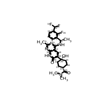 Cc1nc(N[C@H](C)c2cccc(C(F)F)c2F)c2cc([C@]3(O)CC[C@H](C(=O)N(C)C)CC3)c(=O)[nH]c2n1